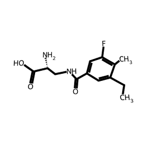 CCc1cc(C(=O)NC[C@@H](N)C(=O)O)cc(F)c1C